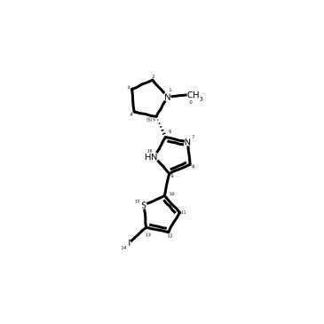 CN1CCC[C@H]1c1ncc(-c2ccc(I)s2)[nH]1